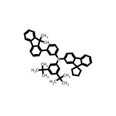 CC(C)(C)c1cc(N(c2cccc(-c3cccc4c3C(C)(C)c3ccccc3-4)c2)c2ccc3c(c2)C2(CCCC2)c2ccccc2-3)cc(C(C)(C)C)c1